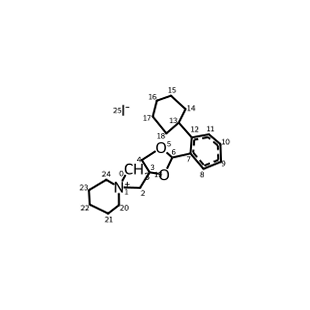 C[N+]1(CC2COC(c3ccccc3C3CCCCC3)O2)CCCCC1.[I-]